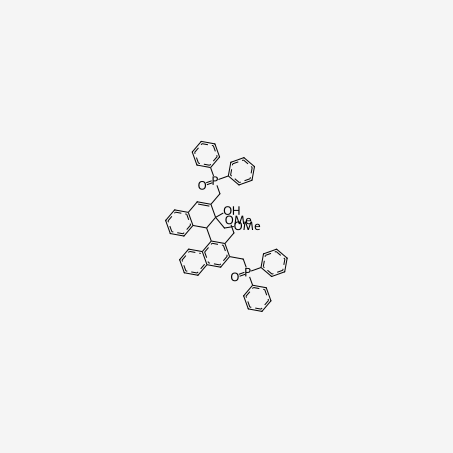 COCc1c(CP(=O)(c2ccccc2)c2ccccc2)cc2ccccc2c1C1c2ccccc2C=C(CP(=O)(c2ccccc2)c2ccccc2)C1(O)COC